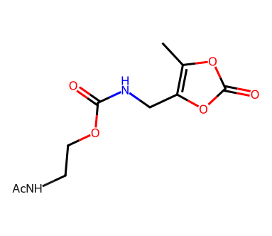 CC(=O)NCCOC(=O)NCc1oc(=O)oc1C